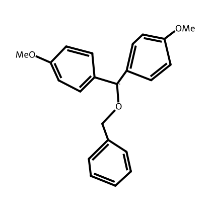 COc1ccc([C](OCc2ccccc2)c2ccc(OC)cc2)cc1